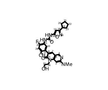 CNc1cc2c(cn1)cc(-c1cc(NC(=O)Nc3cc(C4CCCC4)no3)c(F)cc1C)c(=O)n2CCO